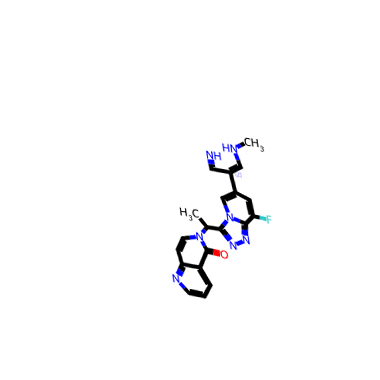 CN/C=C(\C=N)c1cc(F)c2nnc(C(C)n3ccc4ncccc4c3=O)n2c1